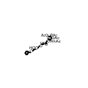 CC(=O)N[C@H]1[C@H](OCC(=O)NCCOCCOC[C@H](O)COCc2ccccc2)O[C@H](COC(C)=O)[C@H](OC(C)=O)[C@@H]1OC(C)=O